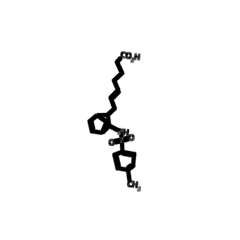 Cc1ccc(S(=O)(=O)NC2C3C=CC(C3)C2CC=CCCCC(=O)O)cc1